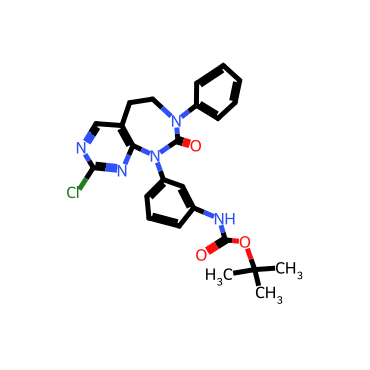 CC(C)(C)OC(=O)Nc1cccc(N2C(=O)N(c3ccccc3)CCc3cnc(Cl)nc32)c1